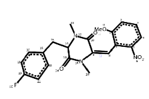 COc1cccc([N+](=O)[O-])c1/C=C1\C(=O)N(C)C(Cc2ccc(F)cc2)C(=O)N1C